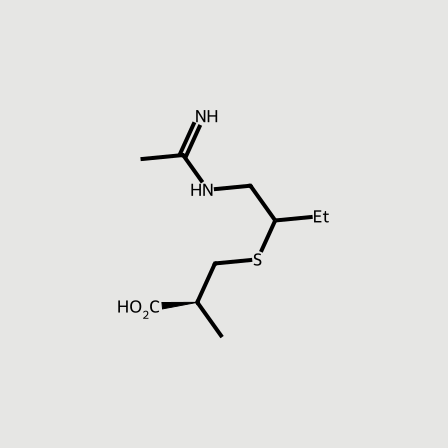 CCC(CNC(C)=N)SC[C@@H](C)C(=O)O